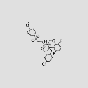 COc1ccc(S(=O)(=O)CC[C@@H]2OCC[C@@]3(Cc4ccc(Cl)cc4)c4c(F)ccc(F)c4OC[C@@H]23)cn1